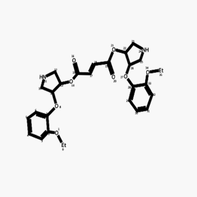 CCOc1ccccc1OC1CNCC1OC(=O)/C=C/C(=O)OC1CNCC1Oc1ccccc1OCC